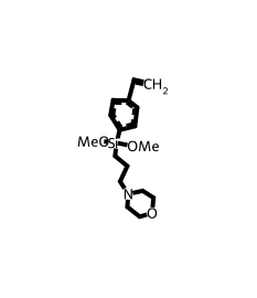 C=Cc1ccc([Si](CCCN2CCOCC2)(OC)OC)cc1